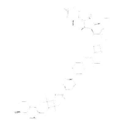 COc1cc(OC2C(C)(C)C(NC(=O)c3ccc(N4CCC(CN(C(C)C)C5CC(Oc6cc(OC)c7c(c6)C(=O)N([C@@H]6CCC(=O)NC6=O)C7=O)C5)CC4)nn3)C2(C)C)ccc1C#N